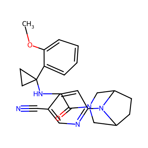 COc1ccccc1C1(NCC(=O)N2CC3CCC(C2)N3c2ccc(C#N)cn2)CC1